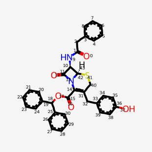 O=C(Cc1ccccc1)N[C@@H]1C(=O)N2C(C(=O)OC(c3ccccc3)c3ccccc3)=C(Cc3ccc(O)cc3)CS[C@H]12